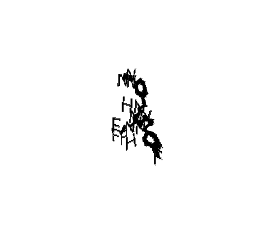 Fc1ccc(-c2ccc3nc(NCc4cccc(-n5cncn5)c4)nc(NCC(F)(F)F)c3n2)cc1